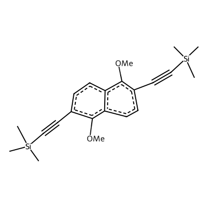 COc1c(C#C[Si](C)(C)C)ccc2c(OC)c(C#C[Si](C)(C)C)ccc12